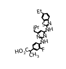 CCc1ccc2nc(Nc3cc(CC(C)C)nc(Nc4ccc(C(C)C(=O)O)cc4F)n3)sc2c1